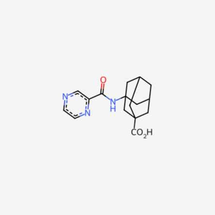 O=C(NC12CC3CC(C1)CC(C(=O)O)(C3)C2)c1cnccn1